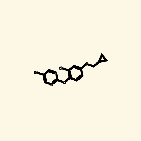 Clc1cc(OCC2CC2)ccc1Oc1ncc(Br)cn1